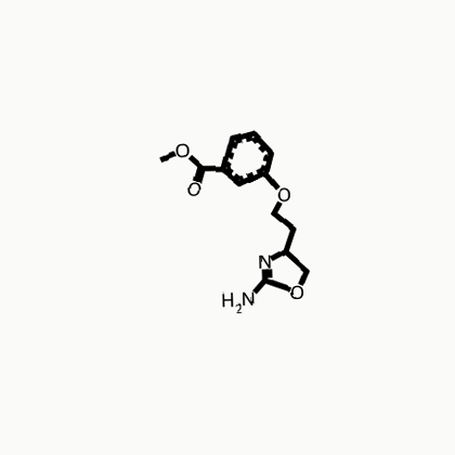 COC(=O)c1cccc(OCCC2COC(N)=N2)c1